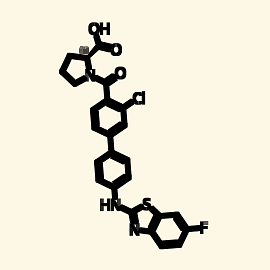 O=C(O)[C@@H]1CCCN1C(=O)c1ccc(-c2ccc(Nc3nc4ccc(F)cc4s3)cc2)cc1Cl